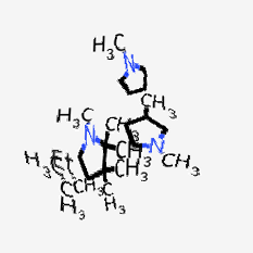 CC.CC1CCN(C)C1.CCC.CN1CCC(C)(C)C1(C)C.CN1CCCC1